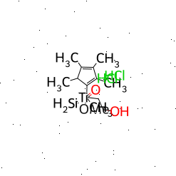 C[O][Ti]([CH3])(=[O])(=[SiH2])([CH2]CO)[C]1=C(C)C(C)=C(C)C1C.Cl.Cl